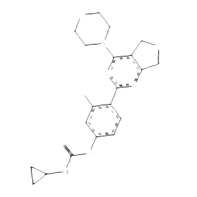 Cl.O=C(Nc1ccc(-c2nc3c(c(N4CCOCC4)n2)CNC3)c(F)c1)NC1CC1